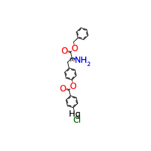 N[C@@H](Cc1ccc(OC(=O)c2cc[c]([Hg][Cl])cc2)cc1)C(=O)OCc1ccccc1